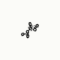 c1ccc(-n2c3ccccc3c3cc(-c4nc(-c5cccc6c5oc5ccccc56)c5sc6ccccc6c5n4)ccc32)cc1